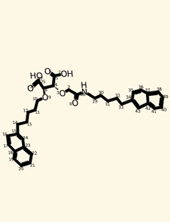 O=C(CO[C@@H](C(=O)O)[C@@H](OCCCCCc1ccc2ccccc2c1)C(=O)O)NCCCCCc1ccc2ccccc2c1